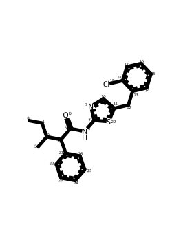 CCC(C)C(C(=O)Nc1ncc(Cc2ccccc2Cl)s1)c1ccccc1